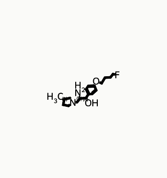 C[C@@H]1CCN(C[C@@H](N)[C@H](O)c2ccc(OCCCCF)cc2)C1